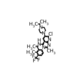 Cc1nc(N[C@H](C)c2cccc(C(F)(F)F)c2C)c2cc(N3CCN(C(C)C)CC3)c(Cl)nc2n1